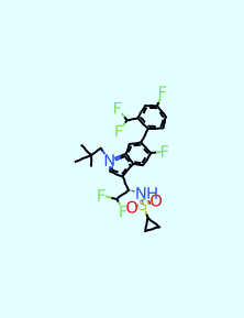 CC(C)(C)Cn1cc([C@H](NS(=O)(=O)C2CC2)C(F)F)c2cc(F)c(-c3ccc(F)cc3C(F)F)cc21